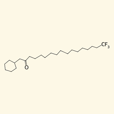 O=C(CCCCCCCCCCCCCCC(F)(F)F)CC1CCCCC1